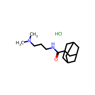 CN(C)CCCNC(=O)C12CC3CC(CC(C3)C1)C2.Cl